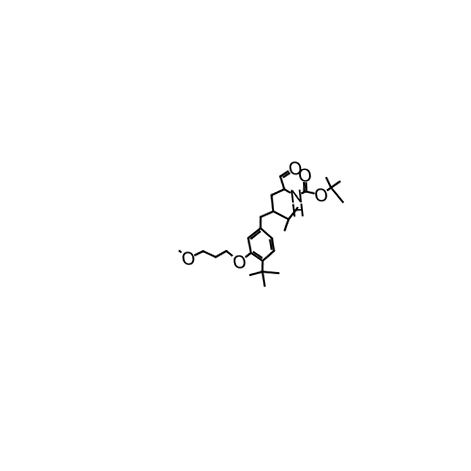 COCCCOc1cc(CC(CC(C=O)NC(=O)OC(C)(C)C)C(C)C)ccc1C(C)(C)C